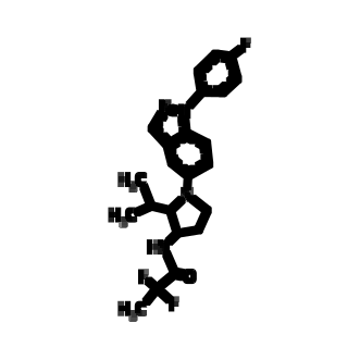 CC(C)C1C(NC(=O)C(C)(F)F)CCN1c1ccc2c(cnn2-c2ccc(F)cc2)c1